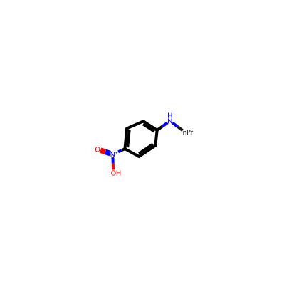 CCCNc1ccc([N+](=O)O)cc1